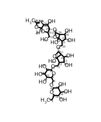 CCC1O[C@H](OCC2O[C@H](OCC3[C@@H](O)C(O)C4[C@@H](OCC5[C@@H](O)C(O)C6[C@H](O[C@@H]7C(CO)O[C@@H]8OC(C)=NC8C7O)OC65O)OC43O)C(O)C(O)[C@@H]2O)C(O)C(O)[C@@H]1O